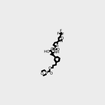 O=C(OCCCc1cccc(C2CC2(NS(=O)(=O)C2=CCC(c3cc(C(F)(F)F)on3)S2)C(=O)O)c1)N1CCOCC1